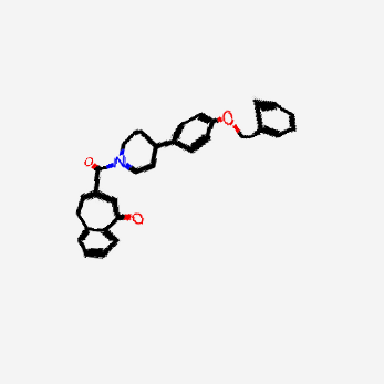 O=C1CC(C(=O)N2CCC(c3ccc(OCc4ccccc4)cc3)CC2)CCc2ccccc21